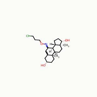 C[C@]12CC[C@H]3[C@@H](C(=NOCCCCl)C=C4C[C@@H](O)CC[C@@]43C)[C@@H]1CC[C@@H]2O